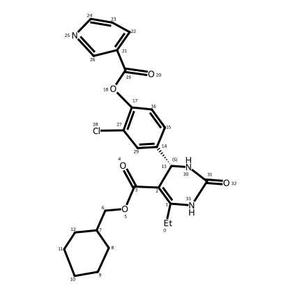 CCC1=C(C(=O)OCC2CCCCC2)[C@H](c2ccc(OC(=O)c3cccnc3)c(Cl)c2)NC(=O)N1